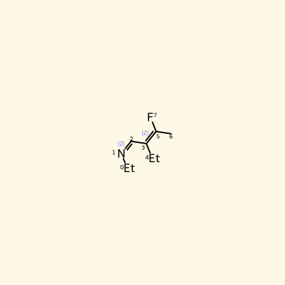 CC/N=C\C(CC)=C(\C)F